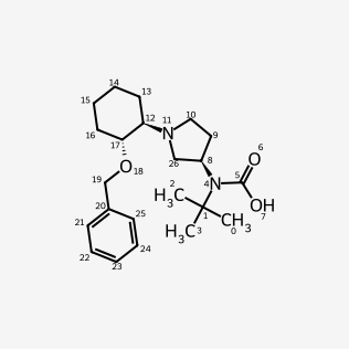 CC(C)(C)N(C(=O)O)[C@@H]1CCN([C@@H]2CCCC[C@H]2OCc2ccccc2)C1